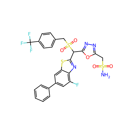 NS(=O)(=O)Cc1nnc(C(c2nc3c(F)cc(-c4ccccc4)cc3s2)S(=O)(=O)Cc2ccc(C(F)(F)F)cc2)o1